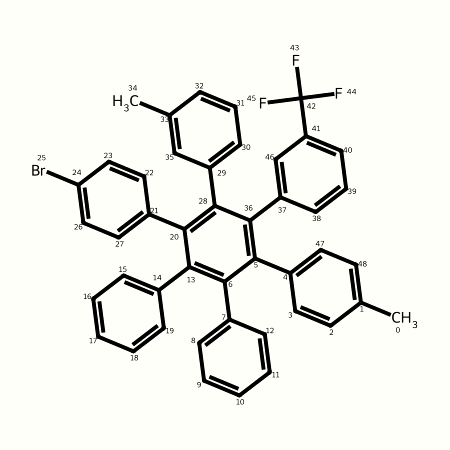 Cc1ccc(-c2c(-c3ccccc3)c(-c3ccccc3)c(-c3ccc(Br)cc3)c(-c3cccc(C)c3)c2-c2cccc(C(F)(F)F)c2)cc1